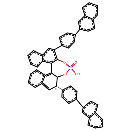 O=P1(O)Oc2c(-c3ccc(-c4ccc5ccccc5c4)cc3)cc3ccccc3c2C2=c3ccccc3=C[C@@H](c3ccc(-c4ccc5ccccc5c4)cc3)C2O1